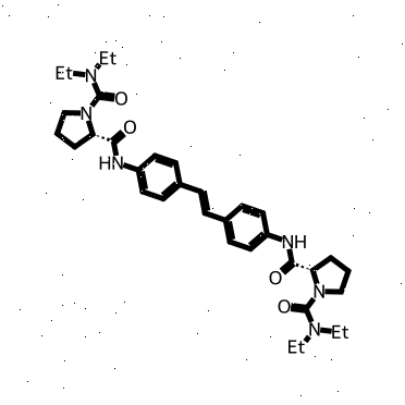 CCN(CC)C(=O)N1CCC[C@H]1C(=O)Nc1ccc(/C=C/c2ccc(NC(=O)[C@@H]3CCCN3C(=O)N(CC)CC)cc2)cc1